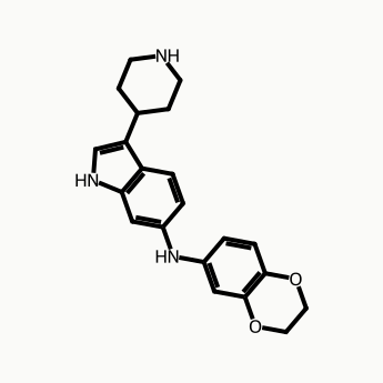 c1cc2c(cc1Nc1ccc3c(C4CCNCC4)c[nH]c3c1)OCCO2